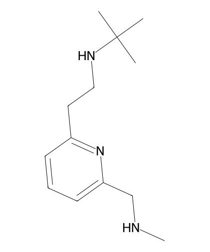 CNCc1cccc(CCNC(C)(C)C)n1